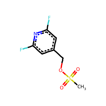 CS(=O)(=O)OCc1cc(F)nc(F)c1